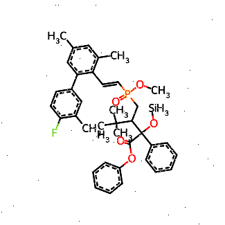 COP(=O)(C=Cc1c(C)cc(C)cc1-c1ccc(F)c(C)c1)CC(C(C)(C)C)C(O[SiH3])(C(=O)Oc1ccccc1)c1ccccc1